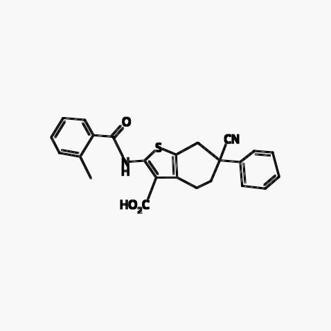 Cc1ccccc1C(=O)Nc1sc2c(c1C(=O)O)CCC(C#N)(c1ccccc1)C2